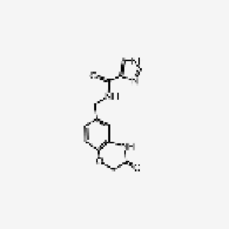 O=C1COc2ccc(CNC(=O)c3c[nH]cn3)cc2N1